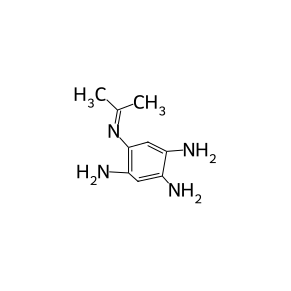 CC(C)=Nc1cc(N)c(N)cc1N